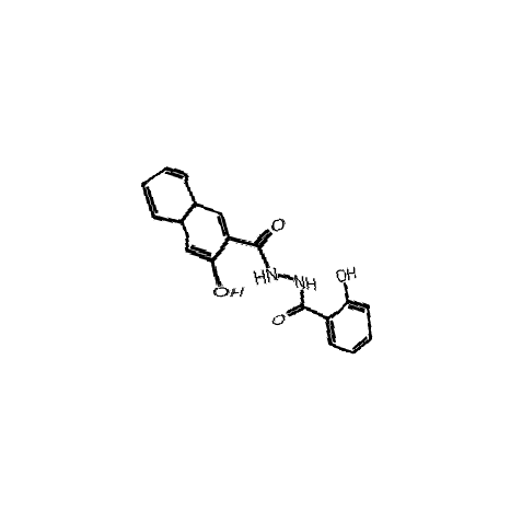 O=C(NNC(=O)c1ccccc1O)C1=CC2C=CC=CC2C=C1O